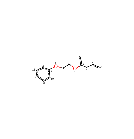 C=CCC(=C)OCCOc1ccccc1